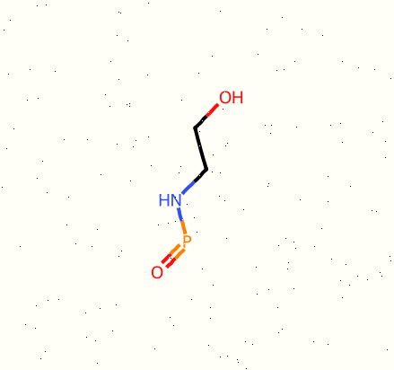 O=PNCCO